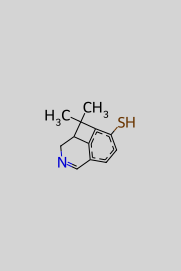 CC1(C)c2c(S)ccc3c2C1CN=C3